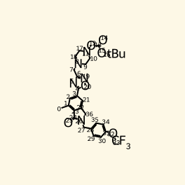 Cc1cc(-c2nc(CN3CCN(OC(=O)OC(C)(C)C)CC3)no2)cc2c1C(=O)N(Cc1ccc(OC(F)(F)F)cc1)C2